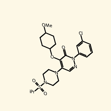 COC1CCC(Oc2c(N3CCN(S(=O)(=O)C(C)C)CC3)cnn(-c3cccc(Cl)c3)c2=O)CC1